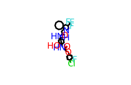 O=C(CC1NCC(C(F)(F)F)CC12CCCCCCCC2)NC12CCC(NC(=O)COc3ccc(Cl)c(F)c3)(CC1)C(O)C2